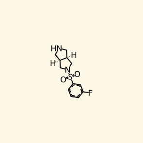 O=S(=O)(c1cccc(F)c1)N1C[C@H]2CNC[C@H]2C1